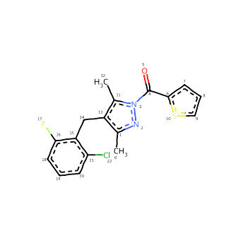 Cc1nn(C(=O)c2cccs2)c(C)c1Cc1c(F)cccc1Cl